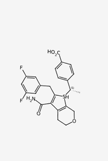 C[C@@H](c1ccc(C(=O)O)cc1)[SH]1C2=C(CCOC2)C(C(N)=O)=C1Cc1cc(F)cc(F)c1